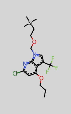 CCCOc1cc(Cl)nc2c1c(C(F)(F)F)cn2COCC[Si](C)(C)C